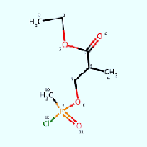 CCOC(=O)C(C)COP(C)(=O)Cl